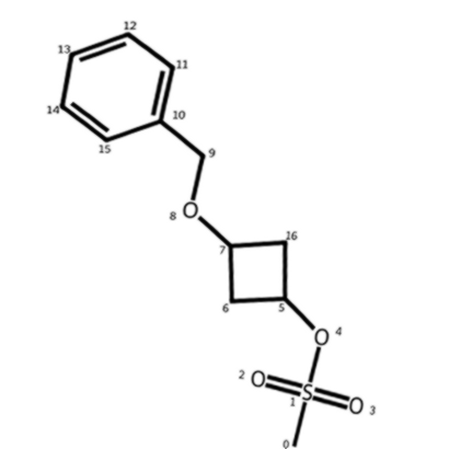 CS(=O)(=O)OC1CC(OCc2ccccc2)C1